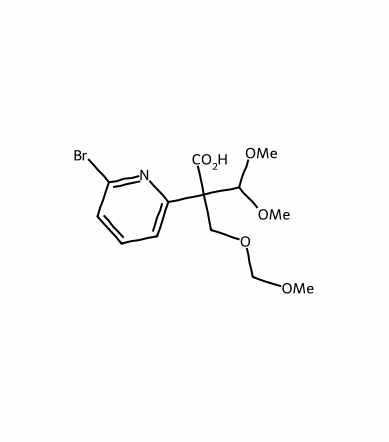 COCOCC(C(=O)O)(c1cccc(Br)n1)C(OC)OC